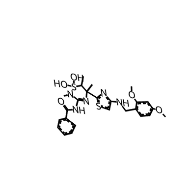 COc1ccc(CNc2csc(C3(C)N=C(NC(=O)c4ccccc4)N(C)S(O)(O)C3C)n2)c(OC)c1